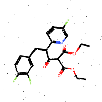 CCOC(=O)C(C(=O)OCC)C(=O)C(Cc1ccc(F)c(F)c1)c1ccc(F)cn1